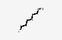 [Li][CH2]CCCCCSC